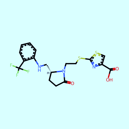 O=C(O)c1csc(SCCN2C(=O)CC[C@@H]2CNc2ccccc2C(F)(F)F)n1